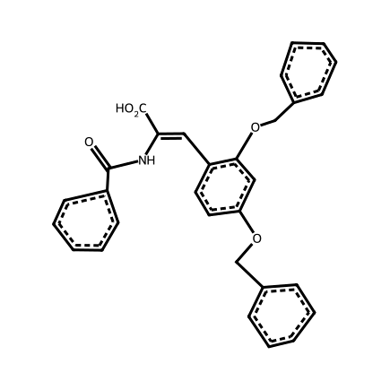 O=C(O)/C(=C/c1ccc(OCc2ccccc2)cc1OCc1ccccc1)NC(=O)c1ccccc1